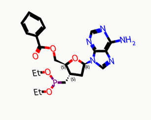 CCOP(C[C@H]1C[C@H](n2cnc3c(N)ncnc32)O[C@@H]1COC(=O)c1ccccc1)OCC